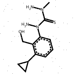 CN(N)C(=S)N(N)c1cccc(C2CC2)c1CO